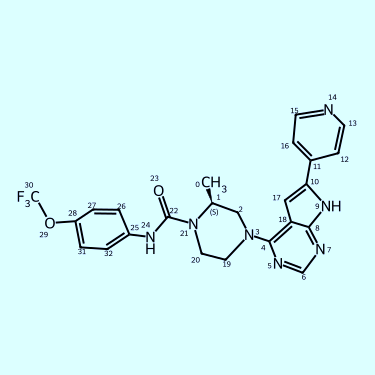 C[C@H]1CN(c2ncnc3[nH]c(-c4ccncc4)cc23)CCN1C(=O)Nc1ccc(OC(F)(F)F)cc1